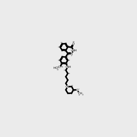 COC1CCCN(CCCCCNc2cc(-c3n[nH]c(=O)c4ccccc34)ccc2Cl)C1.Cl